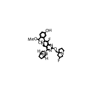 COC(c1ccc(O)cc1-c1ncc2c(N3C[C@H]4CC[C@@H](C3)N4)nc(OCC34CCCN3CC(F)C4)nc2c1F)C(F)(F)F